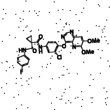 COc1cc2ncnc(Oc3ccc(NC(=O)C4(C(=O)Nc5ccc(F)cc5)CC4)cc3Cl)c2nc1OC